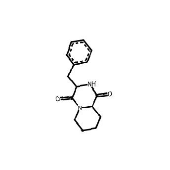 O=C1NC(Cc2ccccc2)C(=O)N2CCCCC12